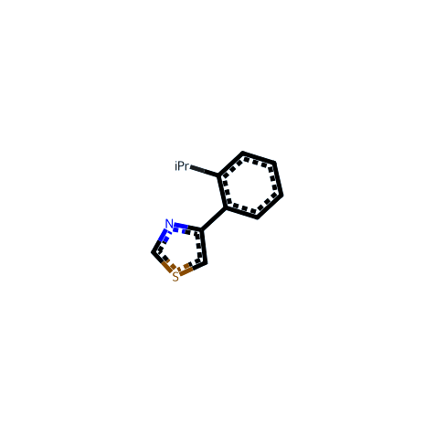 CC(C)c1ccccc1-c1cscn1